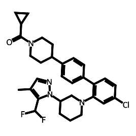 Cc1cnn(C2CCCN(c3cc(Cl)ccc3-c3ccc(C4CCN(C(=O)C5CC5)CC4)cc3)C2)c1C(F)F